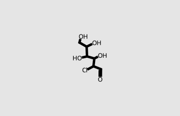 O=CC(Cl)C(O)C(O)C(O)CO